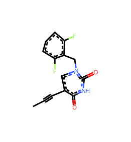 CC#Cc1cn(Cc2c(F)cccc2F)c(=O)[nH]c1=O